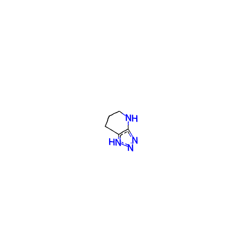 C1CNc2nn[nH]c2C1